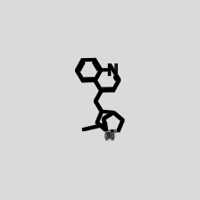 CC1C2C3CC[C@@]12CC3Cc1ccnc2ccccc12